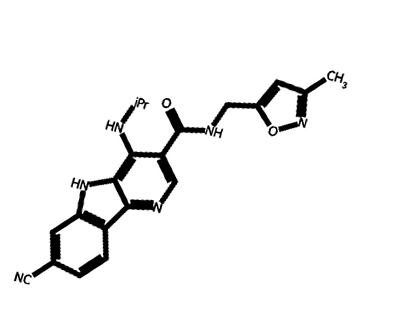 Cc1cc(CNC(=O)c2cnc3c([nH]c4cc(C#N)ccc43)c2NC(C)C)on1